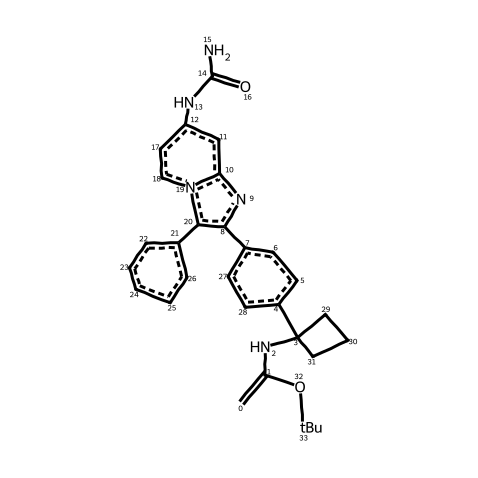 C=C(NC1(c2ccc(-c3nc4cc(NC(N)=O)ccn4c3-c3ccccc3)cc2)CCC1)OC(C)(C)C